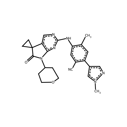 Cc1cc(-c2cnn(C)c2)c(C#N)cc1Nc1ncc2c(n1)N(C1CCOCC1)C(=O)C21CC1